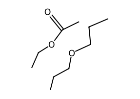 CCCOCCC.CCOC(C)=O